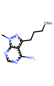 COCCCc1nn(C)c2ncnc(N)c12